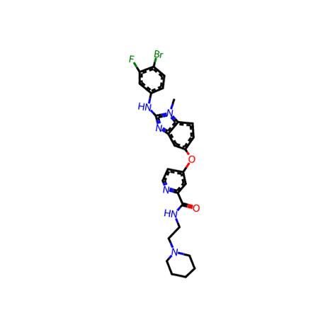 Cn1c(Nc2ccc(Br)c(F)c2)nc2cc(Oc3ccnc(C(=O)NCCN4CCCCC4)c3)ccc21